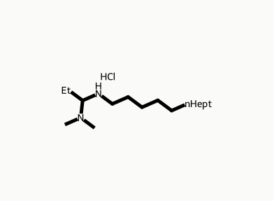 CCCCCCCCCCCCNC(CC)N(C)C.Cl